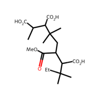 CCC(C)(C)C(C(=O)O)C(CC(C)(C)C(C(=O)O)C(C)C(=O)O)C(=O)OC